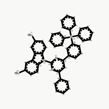 CC(C)(C)c1ccc2c(c1)c1cc(C(C)(C)C)ccc1n2-c1nc(-c2ccccc2)cc(-c2cccc([Si](c3ccccc3)(c3ccccc3)c3ccccc3)c2)n1